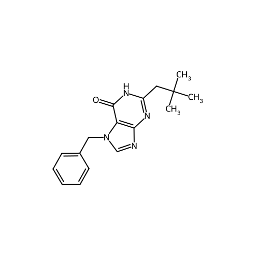 CC(C)(C)Cc1nc2ncn(Cc3ccccc3)c2c(=O)[nH]1